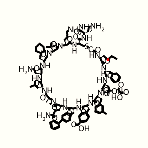 CCCC[C@@H]1NC(=O)CSC[C@@H](C(=O)N[C@@H](CCN)C(N)=O)NC(=O)[C@H](CCCN)NC(=O)[C@H](C(C)C)NC(=O)[C@H](CC2CCCCC2)NC(=O)[C@H](CCN)NC(=O)[C@@H](CC(C)C)NC(=O)[C@H](C)N(C)C(=O)[C@H](CCC(N)=O)NC(=O)[C@H](Cc2ccc(-c3ccccc3)cc2)NC(=O)[C@H](Cc2ccc(C(=O)O)cc2)NC(=O)[C@H](Cc2cccc(C)c2)NC(=O)[C@H](CC(=O)O)NC(=O)[C@H](Cc2ccc(OCC(=O)O)cc2)NC1=O